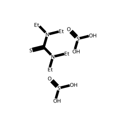 CCN(CC)C(=S)N(CC)CC.O=S(O)O.O=S(O)O